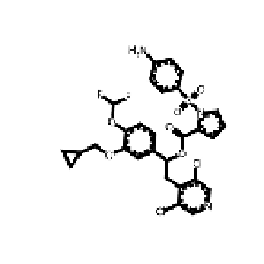 Nc1ccc(S(=O)(=O)n2cccc2C(=O)OC(Cc2c(Cl)cncc2Cl)c2ccc(OC(F)F)c(OCC3CC3)c2)cc1